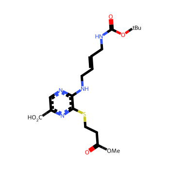 COC(=O)CCSc1nc(C(=O)O)cnc1NCC=CCNC(=O)OC(C)(C)C